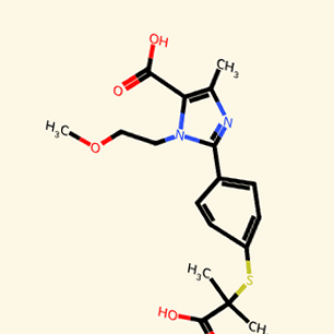 COCCn1c(-c2ccc(SC(C)(C)C(=O)O)cc2)nc(C)c1C(=O)O